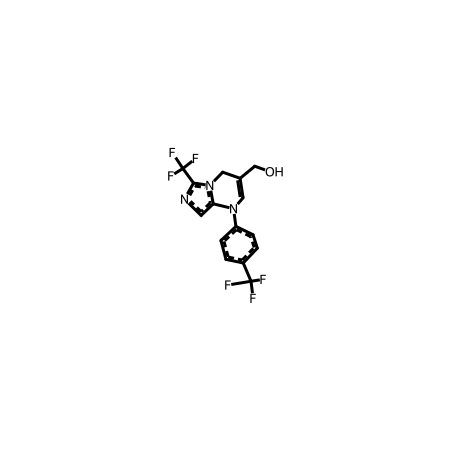 OCC1=CN(c2ccc(C(F)(F)F)cc2)c2cnc(C(F)(F)F)n2C1